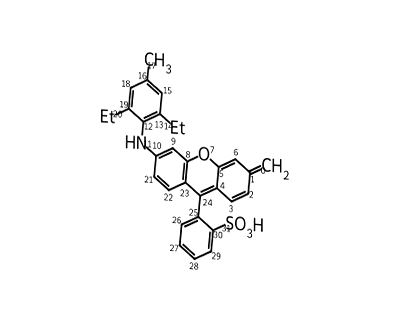 C=c1ccc2c(c1)Oc1cc(Nc3c(CC)cc(C)cc3CC)ccc1C=2c1ccccc1S(=O)(=O)O